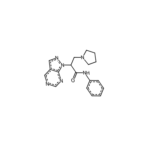 O=C(Nc1ccccc1)C(CN1CCCC1)n1ncc2cncnc21